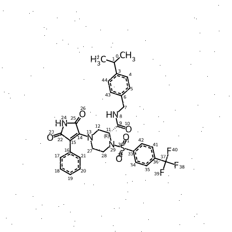 CC(C)c1ccc(CNC(=O)[C@H]2CN(C3=C(c4ccccc4)C(=O)NC3=O)CCN2S(=O)(=O)c2ccc(C(F)(F)F)cc2)cc1